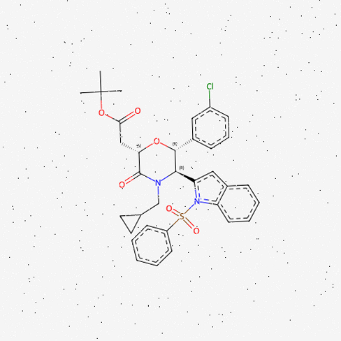 CC(C)(C)OC(=O)C[C@@H]1O[C@H](c2cccc(Cl)c2)[C@@H](c2cc3ccccc3n2S(=O)(=O)c2ccccc2)N(CC2CC2)C1=O